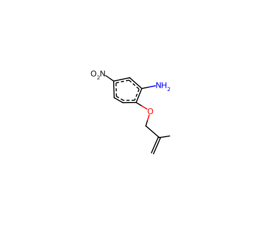 C=C(C)COc1ccc([N+](=O)[O-])cc1N